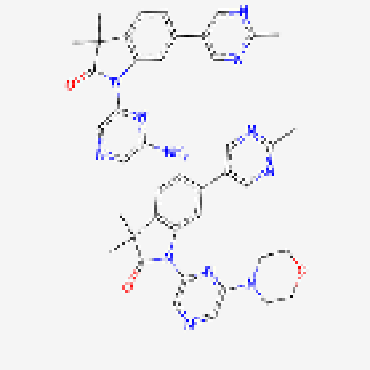 Cc1ncc(-c2ccc3c(c2)N(c2cncc(N)n2)C(=O)C3(C)C)cn1.Cc1ncc(-c2ccc3c(c2)N(c2cncc(N4CCOCC4)n2)C(=O)C3(C)C)cn1